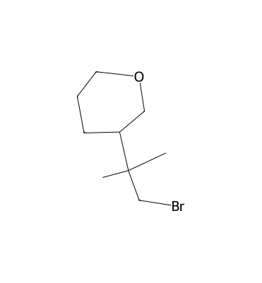 CC(C)(CBr)C1CCCOC1